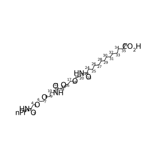 CCCNC(=O)COCCOCCNC(=O)COCCOCCNC(=O)CCCCCCCCCCCCC(=O)O